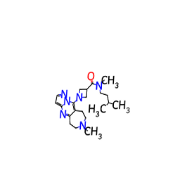 CC(C)CCN(C)C(=O)C1CN(c2c3c(nc4ccnn24)CCN(C)CC3)C1